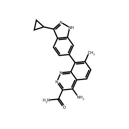 Cc1ccc2c(N)c(C(N)=O)nnc2c1-c1ccc2c(C3CC3)n[nH]c2c1